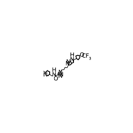 Cc1ccc(CNC(=O)c2cn(CCCCc3cc4cc(-c5ccc(OC(F)(F)F)cc5)[nH]c4nn3)nn2)cn1